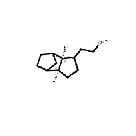 O=CCCC1CC[C@H]2C3CCC(C3)[C@@H]12